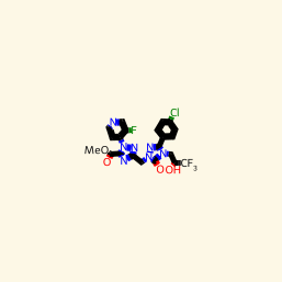 COC(=O)c1nc(Cn2nc(-c3ccc(Cl)cc3)n(CC(O)C(F)(F)F)c2=O)nn1-c1ccncc1F